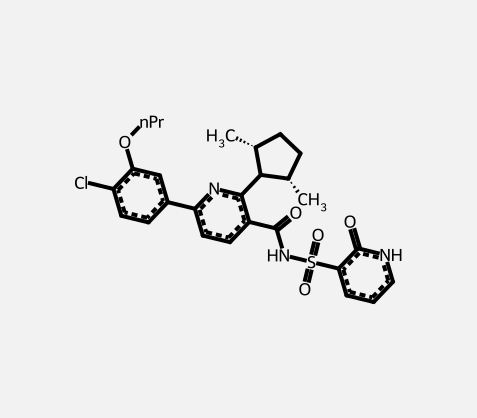 CCCOc1cc(-c2ccc(C(=O)NS(=O)(=O)c3ccc[nH]c3=O)c(C3[C@H](C)CC[C@@H]3C)n2)ccc1Cl